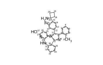 Cc1ccccc1-c1nc2n(c1-c1ccc(C3(N)CCC3)c(F)c1)-c1cccnc1Nc1ccccc1-2.Cl